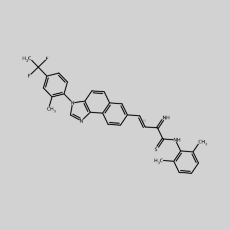 Cc1cc(C(C)(F)F)ccc1-n1cnc2c3ccc(/C=C/C(=N)C(=S)Nc4c(C)cccc4C)cc3ccc21